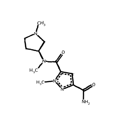 CN1CCC(N(C)C(=O)c2[c]c(C(N)=O)nn2C)C1